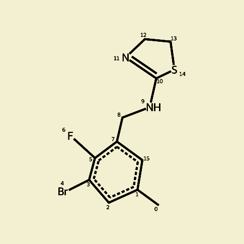 Cc1cc(Br)c(F)c(CNC2=NCCS2)c1